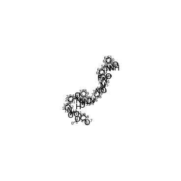 CCOc1cc(OC)ccc1COCC(=O)N1CCCC(c2cccc(C(=O)N[C@@H](C(=O)N3CCN(CC4CCN(CC(=O)N5CCN(C(=O)c6cc(Cc7n[nH]c(=O)c8ccccc78)ccc6F)CC5)CC4)CC3)C3CCCCC3)c2)C1